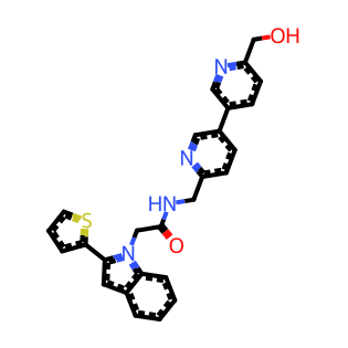 O=C(Cn1c(-c2cccs2)cc2ccccc21)NCc1ccc(-c2ccc(CO)nc2)cn1